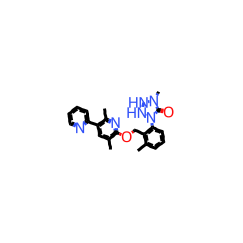 Cc1cc(-c2ccccn2)c(C)nc1OCc1c(C)cccc1N1NNN(C)C1=O